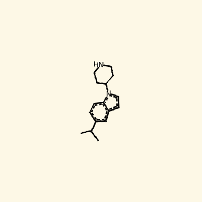 CC(C)c1ccc2c(ccn2C2CCNCC2)c1